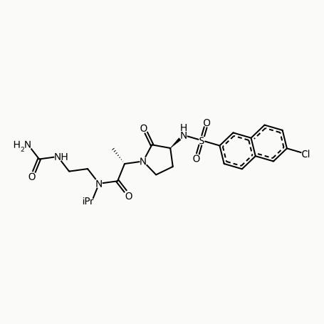 CC(C)N(CCNC(N)=O)C(=O)[C@H](C)N1CC[C@H](NS(=O)(=O)c2ccc3cc(Cl)ccc3c2)C1=O